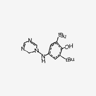 CC(C)(C)c1cc(NN2C=NC=NC2)cc(C(C)(C)C)c1O